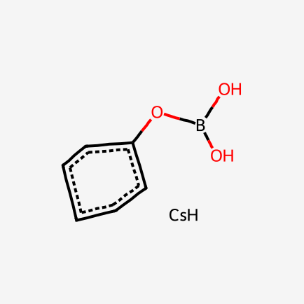 OB(O)Oc1ccccc1.[CsH]